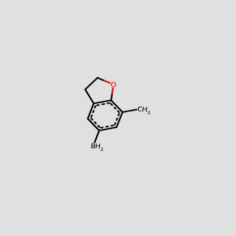 Bc1cc(C)c2c(c1)CCO2